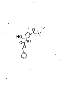 CCCC(C)(C)OC(=O)N1CC[C@](CO)(NC(=O)OCc2ccccc2)C1